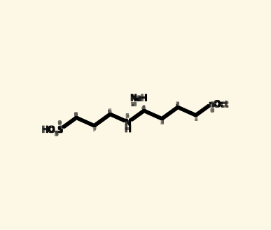 CCCCCCCCCCCCNCCCS(=O)(=O)O.[NaH]